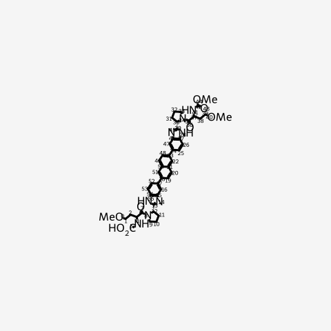 COCCC(NC(=O)O)C(=O)N1CCC[C@H]1c1nc2cc(-c3ccc4cc(-c5ccc6[nH]c([C@@H]7CCCN7C(=O)C(CCOC)NC(=O)OC)nc6c5)ccc4c3)ccc2[nH]1